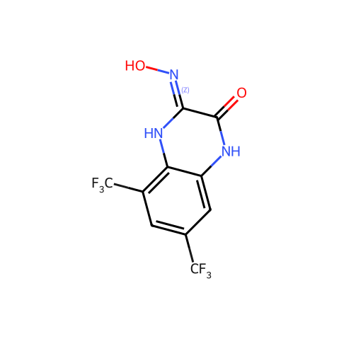 O=c1[nH]c2cc(C(F)(F)F)cc(C(F)(F)F)c2[nH]/c1=N\O